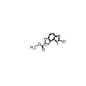 COC(=O)[C@@H]1Cc2c(ccc3nc(Cl)sc23)O1